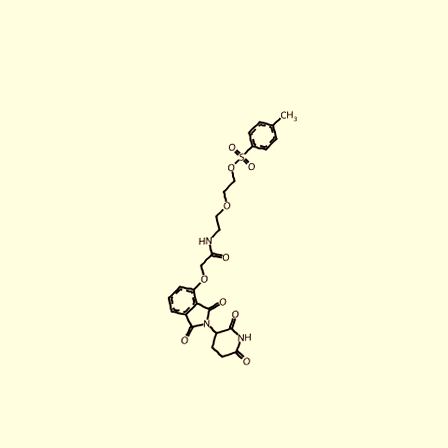 Cc1ccc(S(=O)(=O)OCCOCCNC(=O)COc2cccc3c2C(=O)N(C2CCC(=O)NC2=O)C3=O)cc1